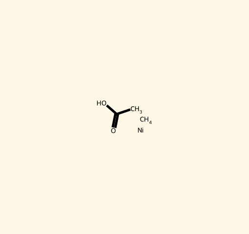 C.CC(=O)O.[Ni]